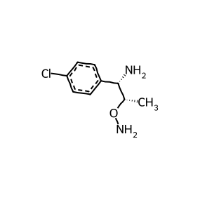 C[C@H](ON)[C@@H](N)c1ccc(Cl)cc1